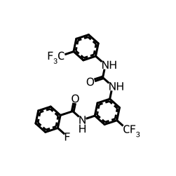 O=C(Nc1cccc(C(F)(F)F)c1)Nc1cc(NC(=O)c2ccccc2F)cc(C(F)(F)F)c1